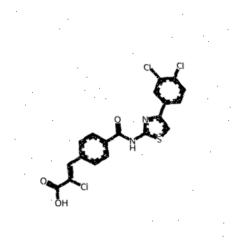 O=C(O)/C(Cl)=C/c1ccc(C(=O)Nc2nc(-c3ccc(Cl)c(Cl)c3)cs2)cc1